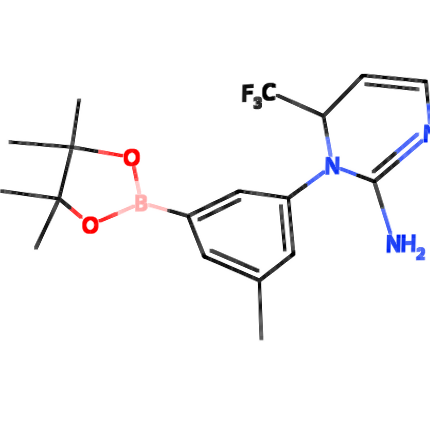 Cc1cc(B2OC(C)(C)C(C)(C)O2)cc(N2C(N)=NC=CC2C(F)(F)F)c1